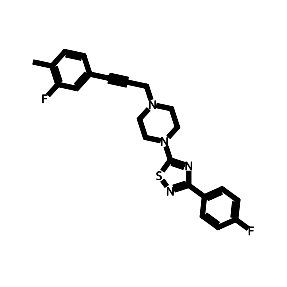 Cc1ccc(C#CCN2CCN(c3nc(-c4ccc(F)cc4)ns3)CC2)cc1F